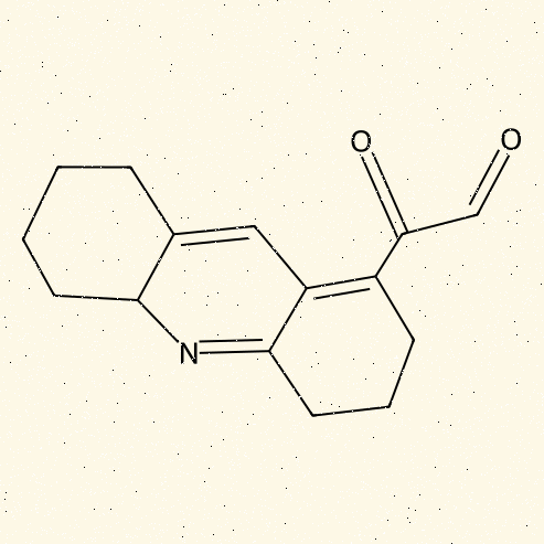 O=CC(=O)C1=C2C=C3CCCCC3N=C2CCC1